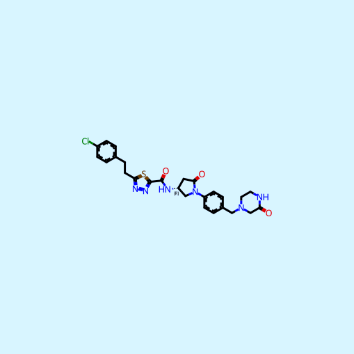 O=C1CN(Cc2ccc(N3C[C@H](NC(=O)c4nnc(CCc5ccc(Cl)cc5)s4)CC3=O)cc2)CCN1